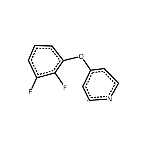 Fc1cccc(Oc2c[c]ncc2)c1F